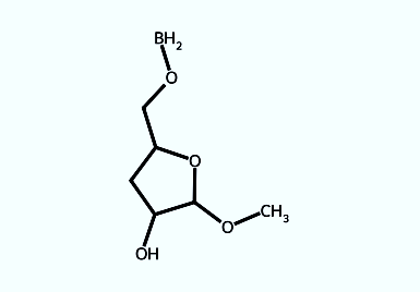 BOCC1CC(O)C(OC)O1